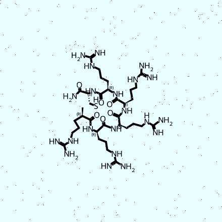 C[C@H](CCCNC(=N)N)C(=O)N[C@H](CCCNC(=N)N)C(=O)N[C@H](CCCNC(=N)N)C(=O)N[C@H](CCCNC(=N)N)C(=O)N[C@H](CCCNC(=N)N)C(=O)N[C@H](CS)C(N)=O